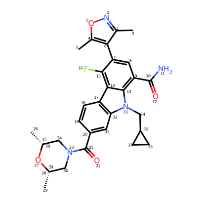 Cc1noc(C)c1-c1cc(C(N)=O)c2c(c1F)c1ccc(C(=O)N3C[C@@H](C)O[C@@H](C)C3)cc1n2CC1CC1